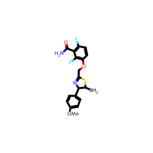 BC1SC(COc2ccc(F)c(C(N)=O)c2F)=NC1c1ccc(OC)cc1